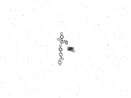 O=C(CN1CCOCC1)N1CCN(c2ccc(OC[C@@H]3CO[C@@](Cn4ccnc4)(c4ccc(Cl)cc4Cl)O3)cc2)CC1.O=[N+]([O-])O.O=[N+]([O-])O.O=[N+]([O-])O